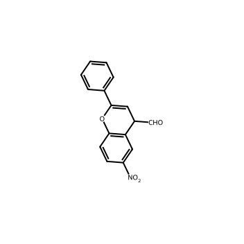 O=CC1C=C(c2ccccc2)Oc2ccc([N+](=O)[O-])cc21